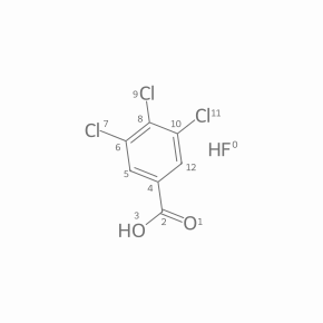 F.O=C(O)c1cc(Cl)c(Cl)c(Cl)c1